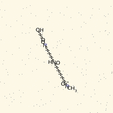 C/N=C/[S+]([O-])CSCSCSCSCSC(=O)NCSCSCSCSC/N=C/OOCSCSCO